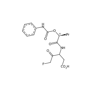 CC(C)[C@H](OC(=O)Nc1ccccc1)C(=O)NC(CC(=O)O)C(=O)CF